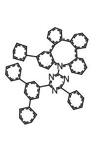 c1ccc(-c2cc(-c3ccccc3)cc(-c3nc(-c4ccccc4)nc(-n4c5ccccc5c5ccccc5c5ccccc5c5cc(-c6ccccc6)ccc54)n3)c2)cc1